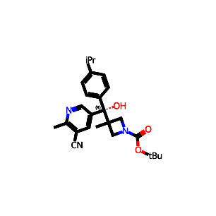 Cc1ncc([C@@](O)(c2ccc(C(C)C)cc2)C2(C)CN(C(=O)OC(C)(C)C)C2)cc1C#N